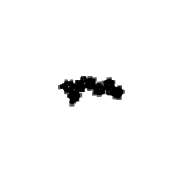 Cc1ccc2c(c1)c1cc(C)ccc1c1nc3c(nc21)oc1ccc(-c2cccc(-c4cccc5c4oc4ccccc45)c2)cc13